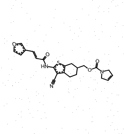 N#Cc1c(NC(=O)C=Cc2ccoc2)sc2c1CCC(COC(=O)N1CC=CC1)C2